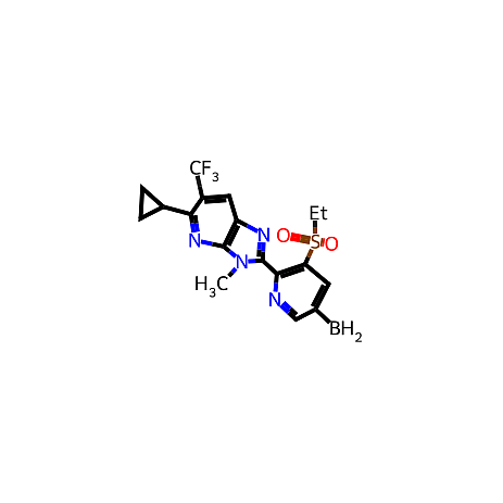 Bc1cnc(-c2nc3cc(C(F)(F)F)c(C4CC4)nc3n2C)c(S(=O)(=O)CC)c1